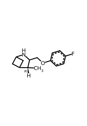 C[C@@H]1C2CC(C2)NC1COc1ccc(F)cc1